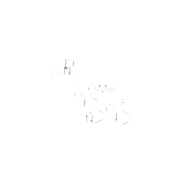 CCN(CC)CCCOc1cc2nccc(Oc3cc[c]cc3F)c2cc1OC